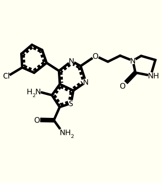 NC(=O)c1sc2nc(OCCN3CCNC3=O)nc(-c3cccc(Cl)c3)c2c1N